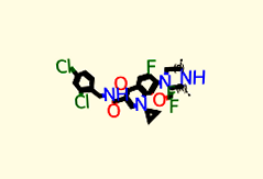 C[C@@H]1CN(c2c(F)cc3c(=O)c(C(=O)NCc4ccc(Cl)cc4Cl)cn(C4CC4)c3c2OC(F)F)C[C@H](C)N1